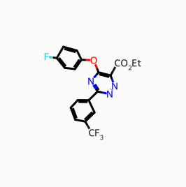 CCOC(=O)c1nnc(-c2cccc(C(F)(F)F)c2)nc1Oc1ccc(F)cc1